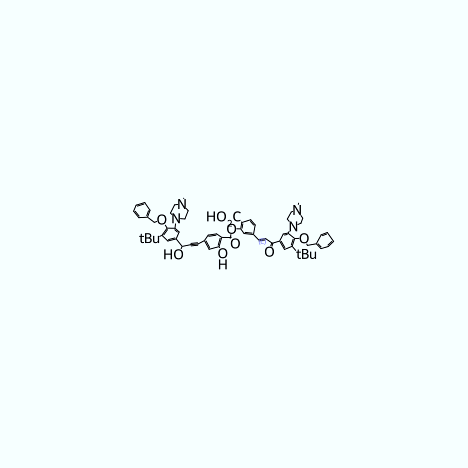 CN1CCN(c2cc(C(=O)/C=C/c3ccc(C(=O)O)c(OC(=O)c4ccc(C#CC(O)c5cc(N6CCN(C)CC6)c(OCc6ccccc6)c(C(C)(C)C)c5)cc4O)c3)cc(C(C)(C)C)c2OCc2ccccc2)CC1